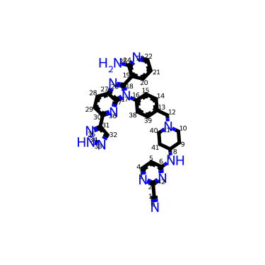 N#Cc1nccc(NC2CCN(Cc3ccc(-n4c(-c5cccnc5N)nc5ccc(-c6cn[nH]n6)nc54)cc3)CC2)n1